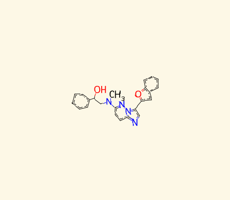 CN(CC(O)c1ccccc1)c1ccc2ncc(-c3cc4ccccc4o3)n2n1